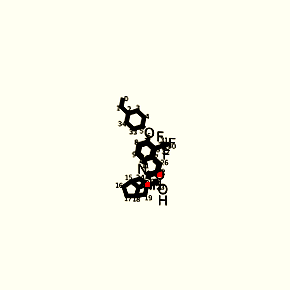 CCC1CCC(Oc2ccc3nc(NC4C5CCC4CC(C(=O)O)C5)ccc3c2C(F)(F)F)CC1